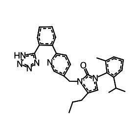 CCCc1cn(-c2c(C)cccc2C(C)C)c(=O)n1Cc1ccc(-c2ccccc2-c2nnn[nH]2)nc1